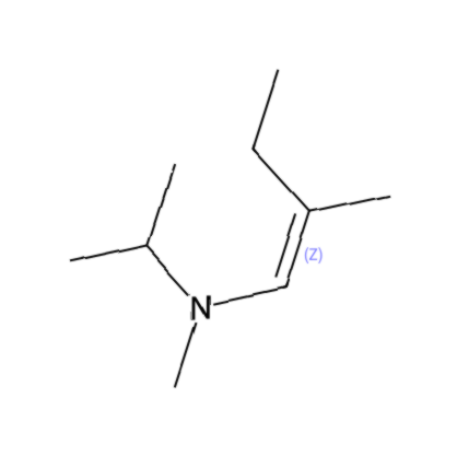 CC/C(C)=C\N(C)C(C)C